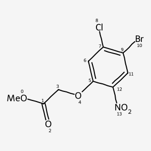 COC(=O)COc1cc(Cl)c(Br)cc1[N+](=O)[O-]